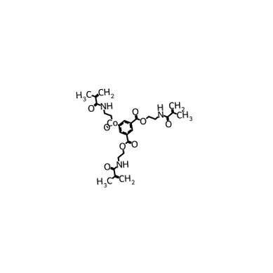 C=C(C)C(=O)NCCOC(=O)c1cc(C(=O)OCCNC(=O)C(=C)C)c[c]([Co](=[O])[CH2]CNC(=O)C(=C)C)c1